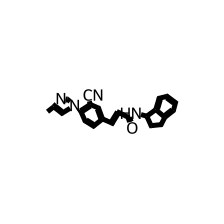 Cc1cn(-c2ccc(/C=C/C(=O)NC3CCc4ccccc43)cc2C#N)cn1